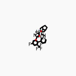 Cc1cc(N2CC3CCC(C2)C3Nc2nc3c(-c4ccc(F)cc4C(F)(F)F)cccn3n2)sn1